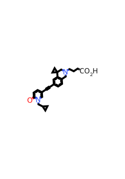 O=C(O)CCCN1Cc2ccc(C#Cc3ccc(=O)n(CC4CC4)c3)cc2C2(CC2)C1